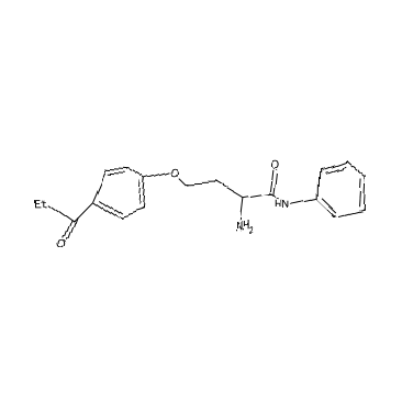 CCC(=O)c1ccc(OCCC(N)C(=O)Nc2ccccc2)cc1